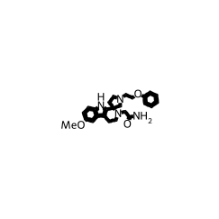 COc1ccc2[nH]c3c(c2c1)CCN(CC(N)=O)C31CCN(CCOc2ccccc2)C1